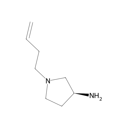 C=CCCN1CC[C@H](N)C1